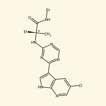 CCNC(=O)[C@@](C)(CC)Nc1ncnc(-c2c[nH]c3ncc(Cl)cc23)n1